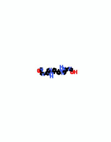 Cc1c(Nc2nccc3cc(CN4CCC(O)C4)cnc23)cccc1-c1cccc(Nc2nccc3cc(CN4CCC(C(=O)N(C)C)C4)cnc23)c1C